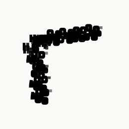 O.O.O.O.[NH4+].[NH4+].[NH4+].[O]=[Mo](=[O])([O-])[O-].[O]=[Mo](=[O])([O-])[O-].[O]=[Mo](=[O])([O-])[O-].[O]=[Mo](=[O])([O-])[O-].[O]=[Mo](=[O])([O-])[O-].[O]=[Mo](=[O])([O-])[O-].[O]=[Mo](=[O])([O-])[O-].[O]=[Mo](=[O])([O-])[O-]